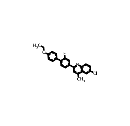 CCOc1ccc(-c2ccc(-c3cc(C)c4cc(Cl)ccc4n3)cc2F)cc1